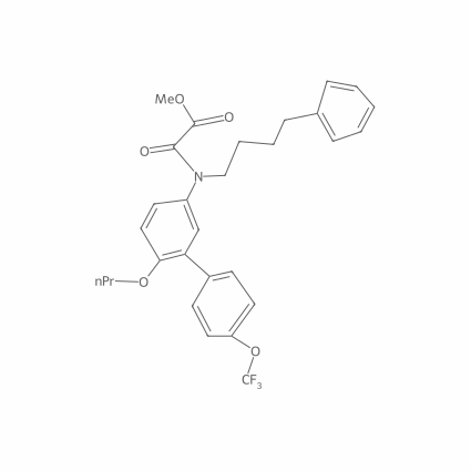 CCCOc1ccc(N(CCCCc2ccccc2)C(=O)C(=O)OC)cc1-c1ccc(OC(F)(F)F)cc1